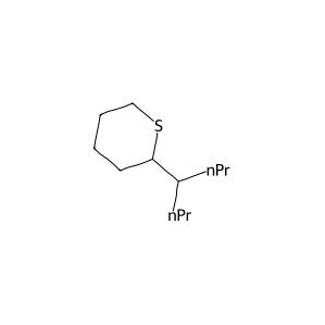 CCCC(CCC)C1CCCCS1